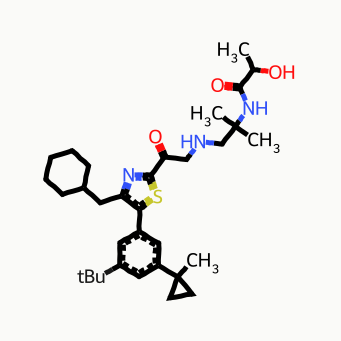 CC(O)C(=O)NC(C)(C)CNCC(=O)c1nc(CC2CCCCC2)c(-c2cc(C(C)(C)C)cc(C3(C)CC3)c2)s1